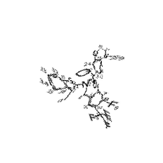 Cc1c(N(Cc2ccc(F)c(C(F)(F)F)c2)S(=O)(=O)c2ccc3c(c2)OCCN3C)sc2ccccc12